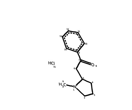 CN1CCCC1CC(=O)c1ccccc1.Cl